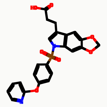 O=C(O)CCc1cn(S(=O)(=O)c2ccc(Oc3ccccn3)cc2)c2cc3c(cc12)OCO3